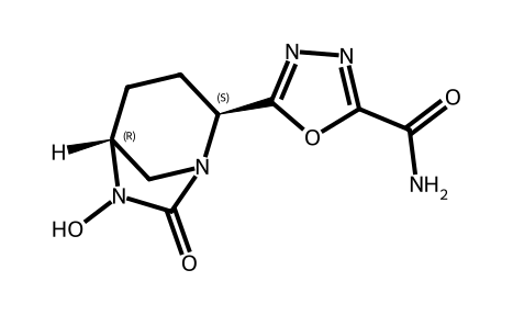 NC(=O)c1nnc([C@@H]2CC[C@@H]3CN2C(=O)N3O)o1